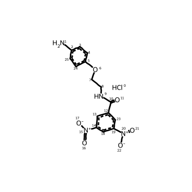 Cl.Nc1ccc(OCCNC(=O)c2cc([N+](=O)[O-])cc([N+](=O)[O-])c2)cc1